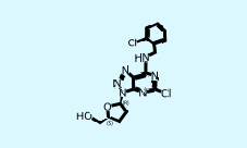 OC[C@@H]1CC[C@H](n2nnc3c(NCc4ccccc4Cl)nc(Cl)nc32)O1